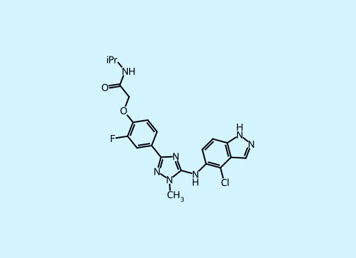 CC(C)NC(=O)COc1ccc(-c2nc(Nc3ccc4[nH]ncc4c3Cl)n(C)n2)cc1F